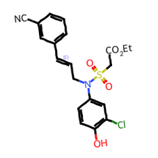 CCOC(=O)CS(=O)(=O)N(C/C=C/c1cccc(C#N)c1)c1ccc(O)c(Cl)c1